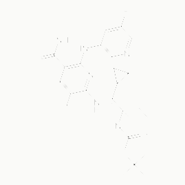 CC[C@H](NC(=O)OC(C)(C)C)[C@H](Nc1nc(Nc2cncc(F)c2)c(C(N)=O)cc1F)C1CC1